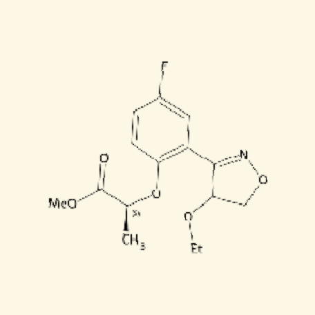 CCOC1CON=C1c1cc(F)ccc1O[C@@H](C)C(=O)OC